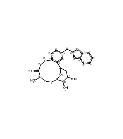 CN1OCC2OC(CC(O)[C@H]2O)c2cc(Cc3cc4ccccc4s3)ccc2OCC1=O